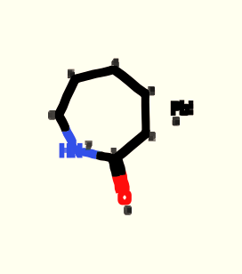 O=C1CCCCCN1.[Pb]